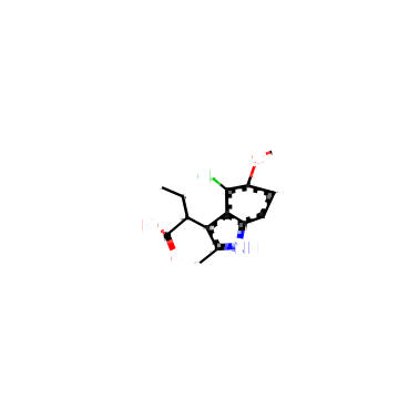 CCC(C(=O)O)c1c(C)[nH]c2ccc(OC)c(Cl)c12